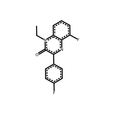 CCn1c(=O)c(-c2ccc(F)cc2)nc2c(F)cccc21